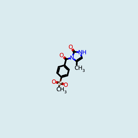 Cc1c[nH]c(=O)n1C(=O)c1ccc(S(C)(=O)=O)cc1